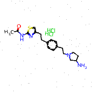 CC(=O)Nc1nc(CCc2ccc(CCN3CCC(N)C3)cc2)cs1.Cl.Cl